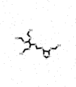 SCSC(SCS)C(SCS)SCSC1SCSC1SCS